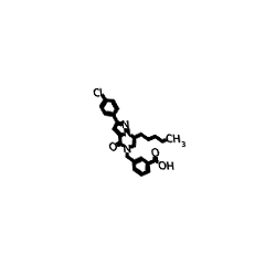 CCCCCC1CN(Cc2cccc(C(=O)O)c2)C(=O)c2cc(-c3ccc(Cl)cc3)nn21